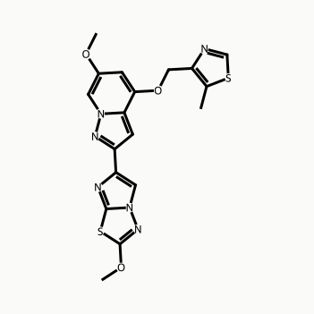 COc1cc(OCc2ncsc2C)c2cc(-c3cn4nc(OC)sc4n3)nn2c1